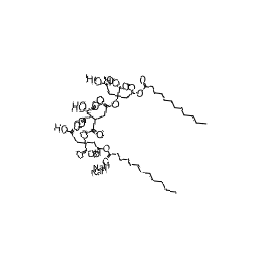 CCCCCCCCCCCC(=O)OC(=O)CC(CC(=O)O)(OC(=O)CC(C(=O)OC(CC(=O)O)(CC(=O)OC(=O)CCCCCCCCCCC)C(=O)O)S(=O)(=O)O)C(=O)O.[NaH].[NaH]